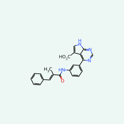 C/C(=C\c1ccccc1)C(=O)Nc1cccc(-c2ncnc3[nH]cc(C(=O)O)c23)c1